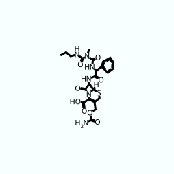 CCCNC(=O)N(C)C(=O)NC(C(=O)NC1C(=O)N2C(C(=O)O)=C(COC(N)=O)CS[C@@H]12)c1ccccc1